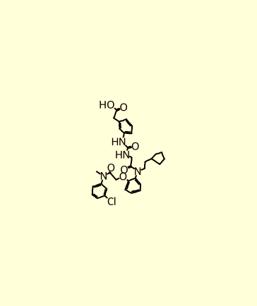 CN(C(=O)COc1ccccc1N(CCC1CCCC1)C(=O)CNC(=O)Nc1cccc(CC(=O)O)c1)c1cccc(Cl)c1